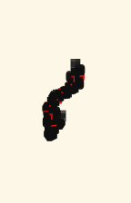 O=C1CC[C@H](N2Cc3cc(N4CC[C@@H](CN5CCC6(CC5)CN(c5cccc(S(=O)(=O)Nc7noc8cc(Cn9cccn9)c9c(c78)OCC9)c5)C6)C4)ccc3C2=O)C(=O)N1